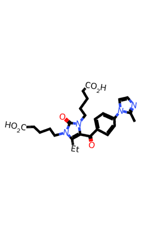 CCc1c(C(=O)c2ccc(-n3ccnc3C)cc2)n(CCCCC(=O)O)c(=O)n1CCCCC(=O)O